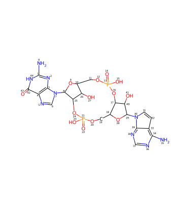 Nc1nc2c(ncn2C2OC3COP(=O)(O)OC4C(COP(=O)(O)OC2C3O)OC(n2ccc3c(N)ncnc32)C4O)c(=O)[nH]1